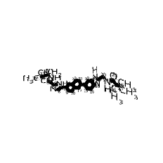 C=C(NCc1ncc(-c2ccc3cc(-c4ccc5nc(CNC(=O)C(C)(C)C)[nH]c5c4)ccc3c2)[nH]1)C(C)(C)C